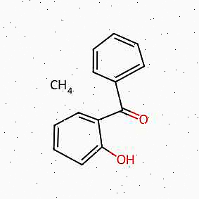 C.O=C(c1ccccc1)c1ccccc1O